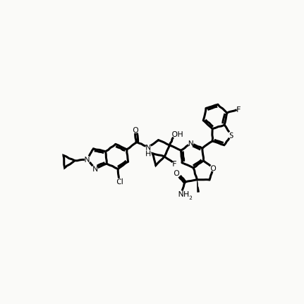 C[C@]1(C(N)=O)COc2c1cc(C(O)(CNC(=O)c1cc(Cl)c3nn(C4CC4)cc3c1)C1(F)CC1)nc2-c1csc2c(F)cccc12